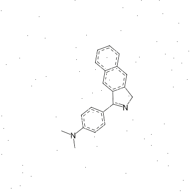 CN(C)c1ccc(C2=NCc3cc4ccccc4cc32)cc1